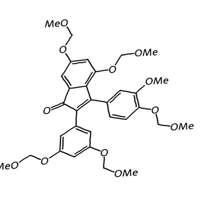 COCOc1cc(OCOC)cc(C2=C(c3ccc(OCOC)c(OC)c3)c3c(OCOC)cc(OCOC)cc3C2=O)c1